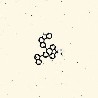 CC1(C)c2ccccc2-c2c(N(c3cccc(-c4cccc5ccccc45)c3)c3ccc4ccc5sc6ccccc6c5c4c3)cccc21